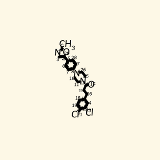 Cc1ncc(-c2ccc(N3CCN(C(=O)CCc4ccc(Cl)c(Cl)c4)CC3)cc2)o1